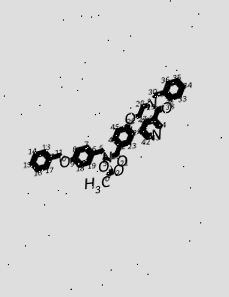 CC(=O)ON(Cc1ccc(OCc2ccccc2)cc1)C(=O)c1ccc(OCCN(Cc2ccccc2)C(=O)c2cccnc2)cc1